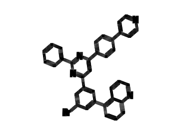 Brc1cc(-c2cc(-c3ccc(-c4ccncc4)cc3)nc(-c3ccccc3)n2)cc(-c2cccc3ncccc23)c1